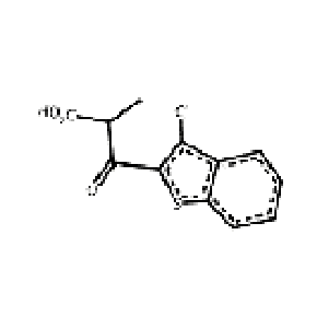 CC(C(=O)O)C(=O)c1sc2ccccc2c1Cl